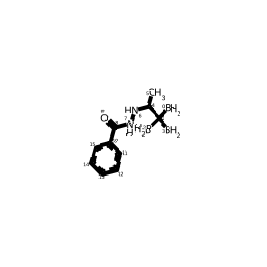 BC(B)(B)C(C)NNC(=O)c1ccccc1